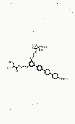 C=C(CO)C(=O)OCCOc1cc(OCCOC(=O)C(C)(C)CO)cc(-c2ccc(C3=CCC(C4CCC(CCCCC)CC4)CC3)cc2)c1